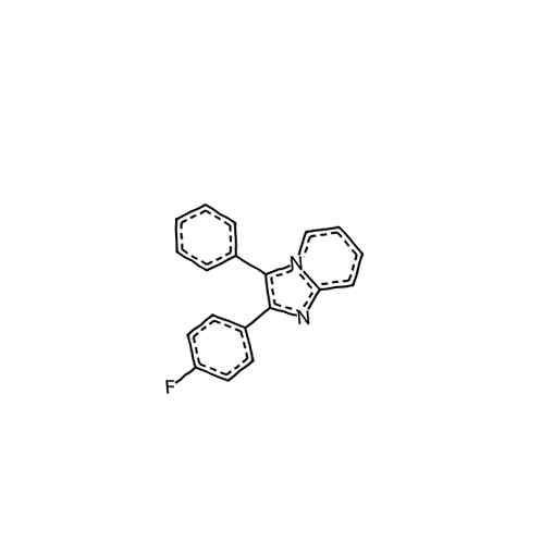 Fc1ccc(-c2nc3ccccn3c2-c2ccccc2)cc1